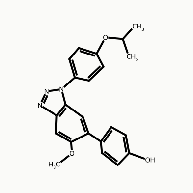 COc1cc2nnn(-c3ccc(OC(C)C)cc3)c2cc1-c1ccc(O)cc1